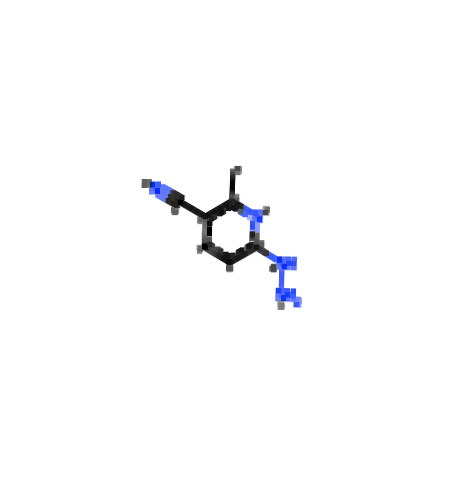 Cc1nc(NN)ccc1C#N